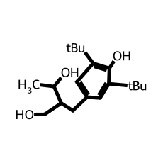 CC(O)C(CO)Cc1cc(C(C)(C)C)c(O)c(C(C)(C)C)c1